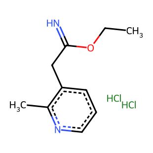 CCOC(=N)Cc1cccnc1C.Cl.Cl